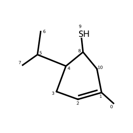 CC1=CCC(C(C)C)C(S)C1